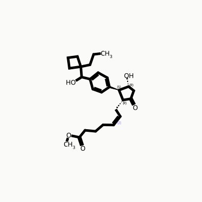 CCCC1(C(O)c2ccc([C@H]3[C@H](O)CC(=O)[C@@H]3C/C=C\CCCC(=O)OC)cc2)CCC1